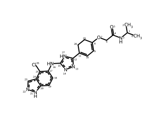 CC(C)NC(=O)COC1=CC=C(c2nnc(Nc3ccc4[nH]ncc4c3Cl)[nH]2)CC1